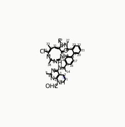 C/C=C\c1c(NC=O)nc(C)nc1N[C@H](C)c1ccc(-c2ccccc2CN(C)B(F)c2cc(C)c(Cl)nc(C)nc[nH]c2=O)cc1